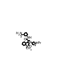 CCCn1cc(-n2cc(C(=O)Nc3cccc(C(N)=S)c3)c3c4ccccc4n(C)c(=O)c32)cn1